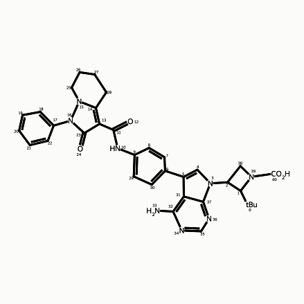 CC(C)(C)C1C(n2cc(-c3ccc(NC(=O)c4c5n(n(-c6ccccc6)c4=O)CCCC5)cc3)c3c(N)ncnc32)CN1C(=O)O